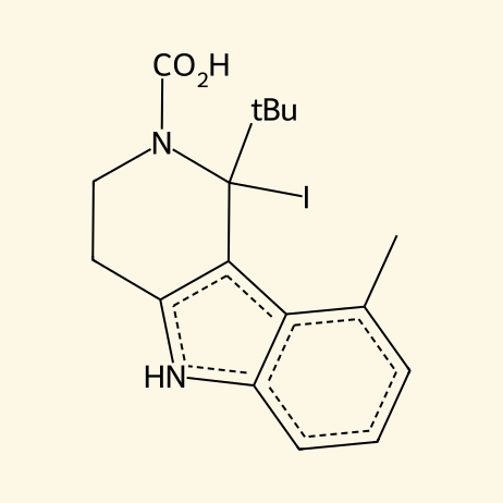 Cc1cccc2[nH]c3c(c12)C(I)(C(C)(C)C)N(C(=O)O)CC3